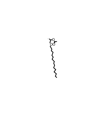 [CH2]C(COCCCCCCCCCCCCCCCC)OC(C)=O